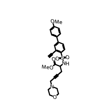 C#Cc1cc(-c2ccc(OC)cc2)ccc1S(=O)(=O)NC(CC#CCN1CCOCC1)C(=O)OC